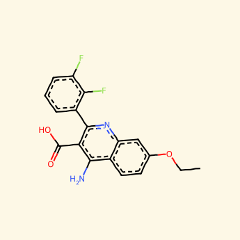 CCOc1ccc2c(N)c(C(=O)O)c(-c3cccc(F)c3F)nc2c1